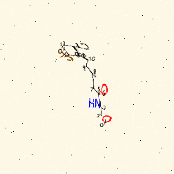 COCCNC(=O)CCCC[C@@H]1CCSS1